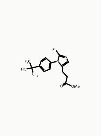 COC(=O)CCc1cnc(C(C)C)n1-c1ccc(C(O)(C(F)(F)F)C(F)(F)F)cc1